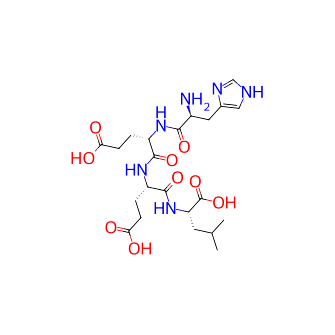 CC(C)C[C@H](NC(=O)[C@H](CCC(=O)O)NC(=O)[C@H](CCC(=O)O)NC(=O)[C@@H](N)Cc1c[nH]cn1)C(=O)O